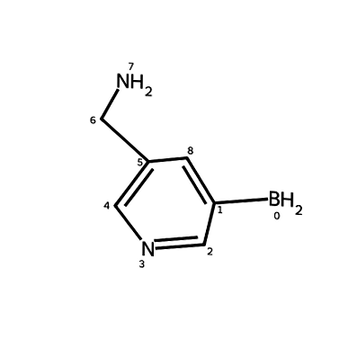 Bc1cncc(CN)c1